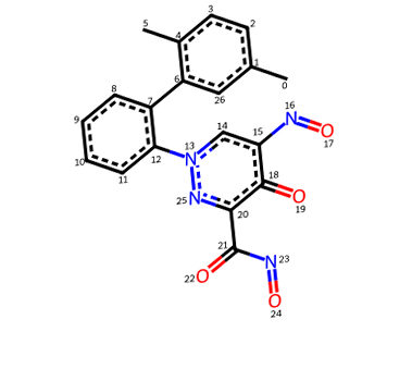 Cc1ccc(C)c(-c2ccccc2-n2cc(N=O)c(=O)c(C(=O)N=O)n2)c1